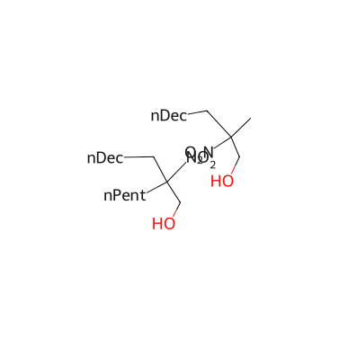 CCCCCCCCCCCC(C)(CO)[N+](=O)[O-].CCCCCCCCCCCC(CO)(CCCCC)[N+](=O)[O-]